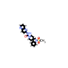 CS(=O)(=O)N1CC2(CCN(C(=O)Nc3ccc4ncccc4n3)CC2)c2ccccc21